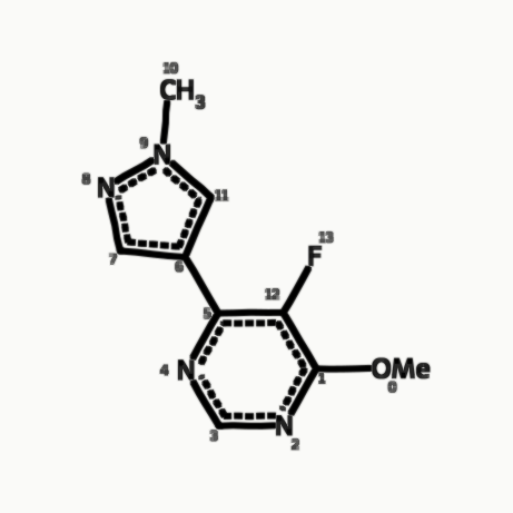 COc1ncnc(-c2cnn(C)c2)c1F